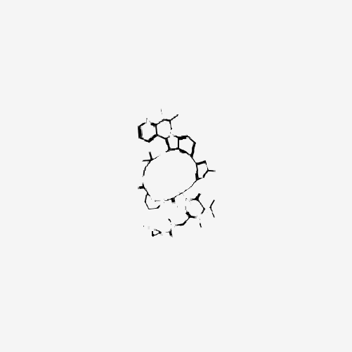 CC(C)[C@@H](C(=O)N[C@H]1Cc2cc(O)cc(c2)-c2ccc3c(c2)c(c2n3C(C)[C@H](C)c3ncccc3-2)CC(C)(C)COC(=O)[C@@H]2CCCN(N2)C1=O)N(C)C(=O)CN(C)C(=O)[C@H]1CN1